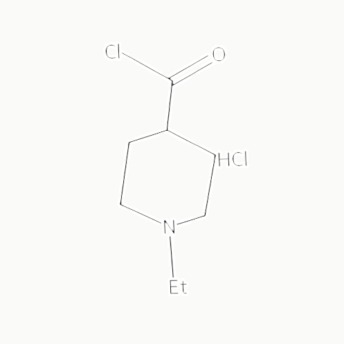 CCN1CCC(C(=O)Cl)CC1.Cl